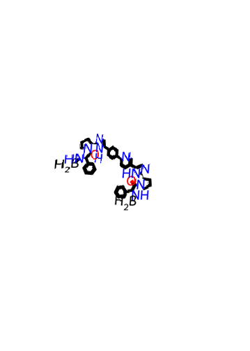 BN[C@@H](C(=O)N1CCC[C@H]1c1ncc(-c2ccc(-c3ccc(-c4cnc([C@@H]5CCCN5C(=O)[C@H](NB)c5ccccc5)[nH]4)cn3)cc2)[nH]1)c1ccccc1